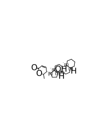 CC1OC(=O)C=CC1[C@H]1CC[C@]2(O)[C@@H]3CC[C@@H]4CCCC[C@]4(C)C3CC[C@]12C